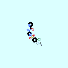 Cc1ccc(S(=O)(=O)n2ccc(NC(=O)c3ccccn3)c2)cc1Cl